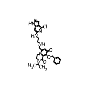 CC(C)N1CCn2c(CNCCNc3cc4[nH]ncc4c(Cl)n3)cc(=O)c(OCc3ccccc3)c2C1=O